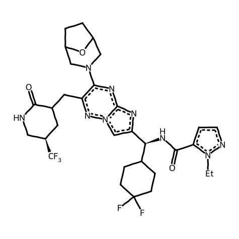 CCn1nccc1C(=O)N[C@H](c1cn2nc(CC3C[C@@H](C(F)(F)F)CNC3=O)c(N3CC4CCC(C3)O4)nc2n1)C1CCC(F)(F)CC1